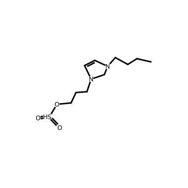 CCCCN1C=CN(CCCO[SH](=O)=O)C1